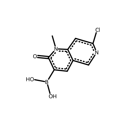 Cn1c(=O)c(B(O)O)cc2cnc(Cl)cc21